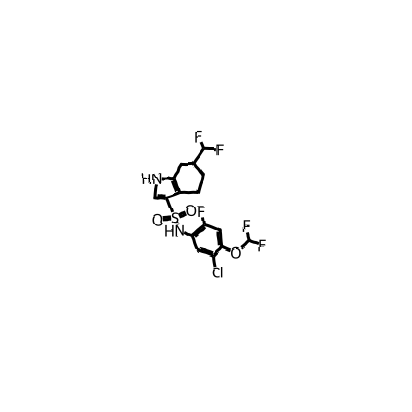 O=S(=O)(Nc1cc(Cl)c(OC(F)F)cc1F)c1c[nH]c2c1CCC(C(F)F)C2